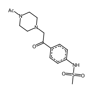 CC(=O)N1CCN(CC(=O)c2ccc(NS(C)(=O)=O)cc2)CC1